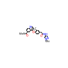 CNC(=O)c1ccc2nccc(Oc3ccc(CC(=O)Nc4cnn(C(C)(C)C)c4)cc3C)c2c1